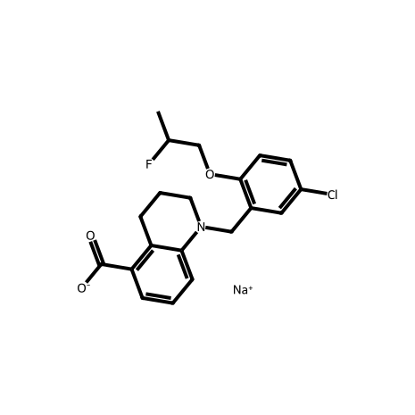 CC(F)COc1ccc(Cl)cc1CN1CCCc2c(C(=O)[O-])cccc21.[Na+]